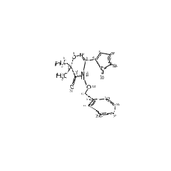 CC1(C)ON=C(c2cccs2)N(OCc2ccccc2)C1=O